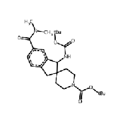 CN(C)C(=O)c1ccc2c(c1)C(NC(=O)OC(C)(C)C)C1(CCN(C(=O)OC(C)(C)C)CC1)C2